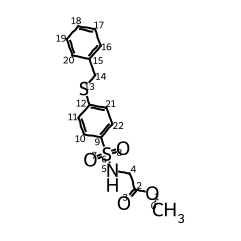 COC(=O)CNS(=O)(=O)c1ccc(SCc2ccccc2)cc1